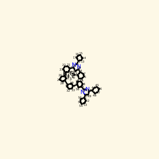 C[Si]1(C)c2ccccc2-c2nc(-c3ccccc3)nc(-c3cccc(-c4cccc(-c5cccc(-c6cccc(-c7nc(-c8ccccc8)cc(-c8ccccc8)n7)c6)c5)c4)c3)c21